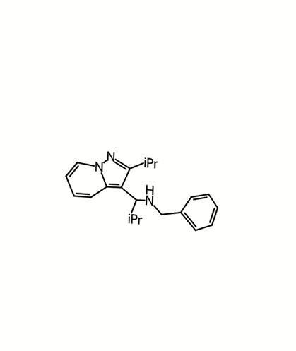 CC(C)c1nn2ccccc2c1C(NCc1ccccc1)C(C)C